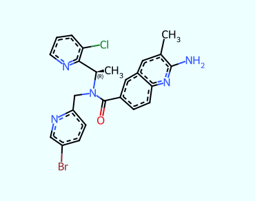 Cc1cc2cc(C(=O)N(Cc3ccc(Br)cn3)[C@H](C)c3ncccc3Cl)ccc2nc1N